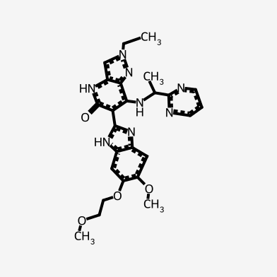 CCn1cc2[nH]c(=O)c(-c3nc4cc(OC)c(OCCOC)cc4[nH]3)c(NC(C)c3ncccn3)c2n1